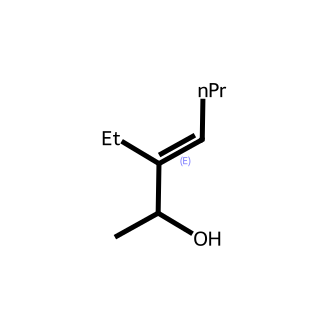 CCC/C=C(\CC)C(C)O